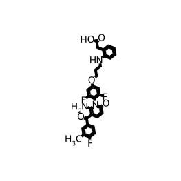 Cc1cc(C(=O)c2ccc(=O)n(-c3c(F)cc(OCCCNc4ccccc4CC(=O)O)cc3F)c2N)ccc1F